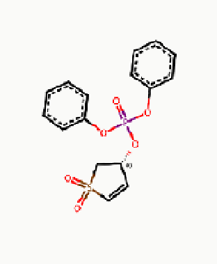 O=P(Oc1ccccc1)(Oc1ccccc1)O[C@@H]1C=CS(=O)(=O)C1